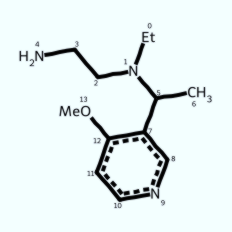 CCN(CCN)C(C)c1cnccc1OC